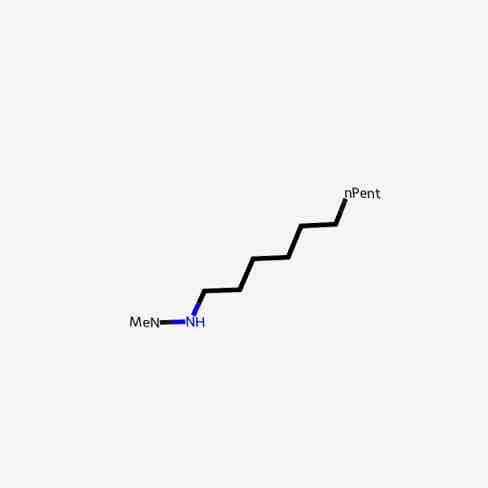 CCCCCCCCCCCNNC